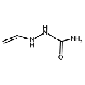 C=CNNC(N)=O